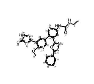 CCNC(=O)Nc1cc(-c2nnc(-c3ccccc3)o2)c(-c2cnc(OC)c(-c3n[nH]c(=O)o3)c2)cn1